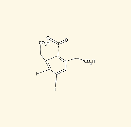 O=C(O)Cc1cc(I)c(I)c(CC(=O)O)c1I(=O)=O